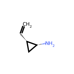 C=C[C@H]1C[C@H]1N